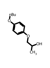 CCCCOc1ccc(OCC(C)O)cc1